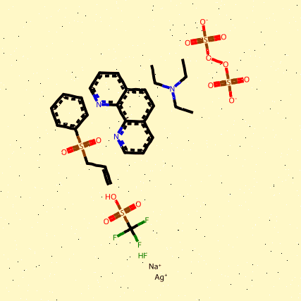 C=CCS(=O)(=O)c1ccccc1.CCN(CC)CC.F.O=S(=O)(O)C(F)(F)F.O=S(=O)([O-])OOS(=O)(=O)[O-].[Ag+].[Na+].c1cnc2c(c1)ccc1cccnc12